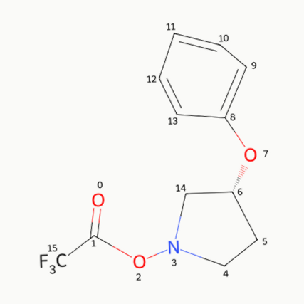 O=C(ON1CC[C@@H](Oc2ccccc2)C1)C(F)(F)F